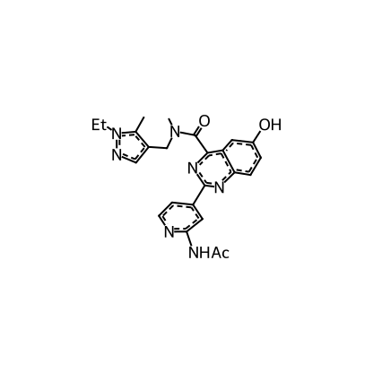 CCn1ncc(CN(C)C(=O)c2nc(-c3ccnc(NC(C)=O)c3)nc3ccc(O)cc23)c1C